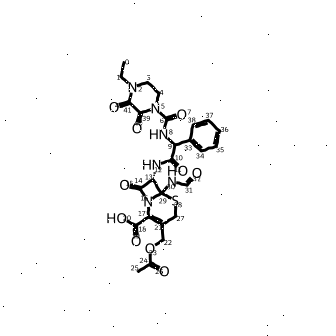 CCN1CCN(C(=O)NC(C(=O)N[C@H]2C(=O)N3C(C(=O)O)=C(COC(C)=O)CSC23NC=O)c2ccccc2)C(=O)C1=O